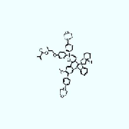 C=C(C)C(=O)OC(C)COc1ccc(C2(c3ccc(N4CCOCC4)cc3)C=Cc3c4c(c5cc(-c6ccc(N7CCOCC7)cc6)c(OC)cc5c3O2)-c2ccccc2C42CC3CCCC[C@@H]3C2)cc1